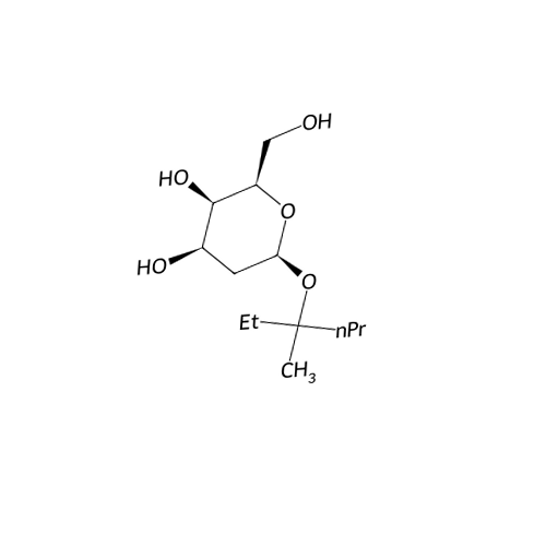 CCCC(C)(CC)O[C@H]1C[C@@H](O)[C@@H](O)[C@@H](CO)O1